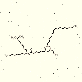 CCCCCCCC/C=C\CCCCCCC1CN(CCO)CC(CCCCCC(=O)OC(CCCCCCCC)CCCCCCC(C)C)O1